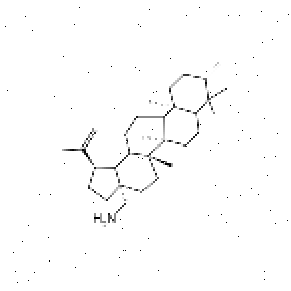 C=C(C)[C@@H]1CC[C@]2(CN)CC[C@]3(C)C(CCC4[C@@]5(C)CC[C@H](C)C(C)(C)C5CC[C@]43C)C12